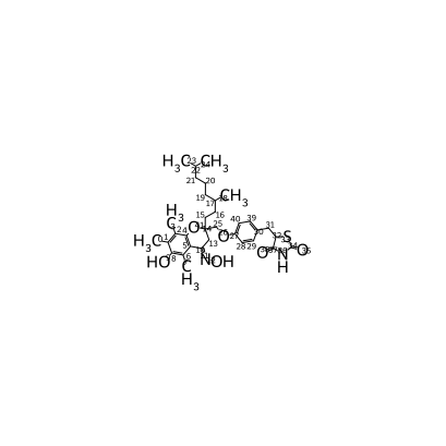 Cc1c(C)c2c(c(C)c1O)C(=NO)CC(CCC(C)CCCC(C)C)(COc1ccc(CC3SC(=O)NC3=O)cc1)O2